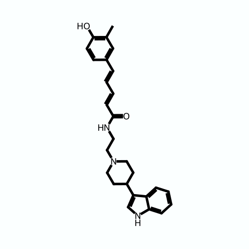 Cc1cc(C=CC=CC(=O)NCCN2CCC(c3c[nH]c4ccccc34)CC2)ccc1O